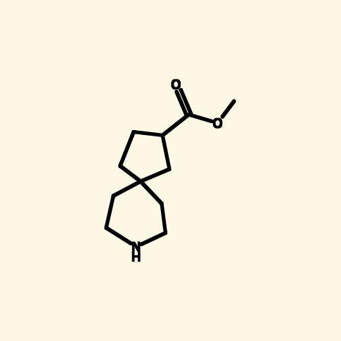 COC(=O)C1CCC2(CCNCC2)C1